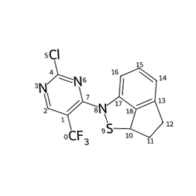 FC(F)(F)c1cnc(Cl)nc1N1SC2CCc3cccc1c32